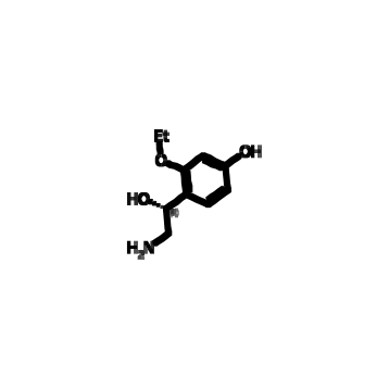 CCOc1cc(O)ccc1[C@@H](O)CN